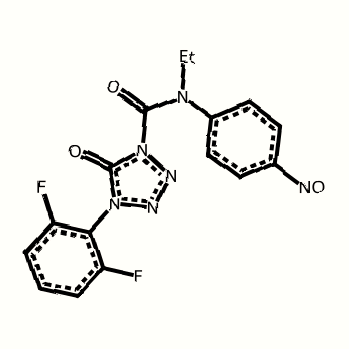 CCN(C(=O)n1nnn(-c2c(F)cccc2F)c1=O)c1ccc(N=O)cc1